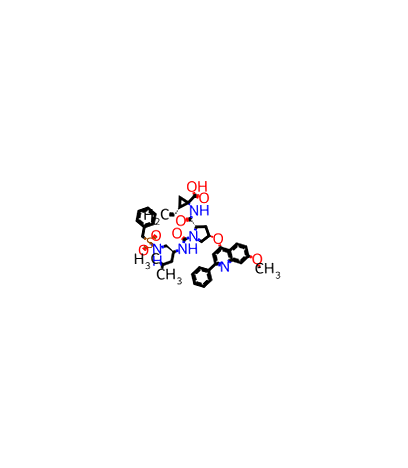 C=C[C@@H]1C[C@]1(NC(=O)[C@@H]1C[C@@H](Oc2cc(-c3ccccc3)nc3cc(OC)ccc23)CN1C(=O)N[C@H](CNS(=O)(=O)Cc1ccccc1)CC(C)C)C(=O)O